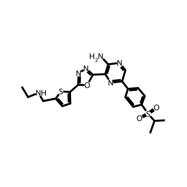 CCNCc1ccc(-c2nnc(-c3nc(-c4ccc(S(=O)(=O)C(C)C)cc4)cnc3N)o2)s1